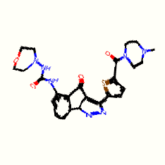 CN1CCN(C(=O)c2ccc(C3=C4C(=O)c5c(NC(=O)NN6CCOCC6)cccc5C4N=N3)s2)CC1